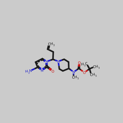 C=CCC(N1CCC(N(C)C(=O)OC(C)(C)C)CC1)n1ccc(N)nc1=O